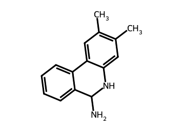 Cc1cc2c(cc1C)-c1ccccc1C(N)N2